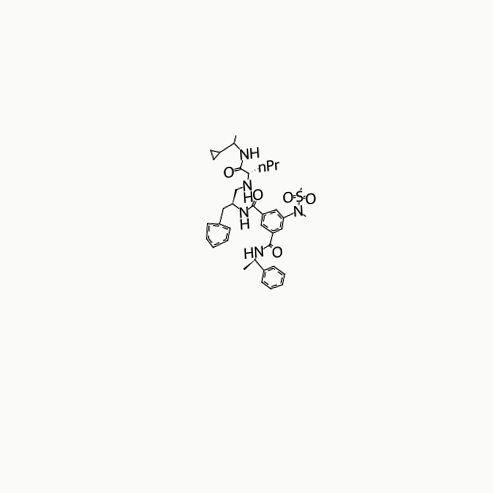 CCC[C@H](NC[C@H](Cc1ccccc1)NC(=O)c1cc(C(=O)N[C@H](C)c2ccccc2)cc(N(C)S(C)(=O)=O)c1)C(=O)NC(C)C1CC1